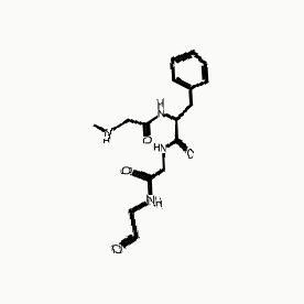 CNCC(=O)NC(Cc1ccccc1)C(=O)NCC(=O)NCC=O